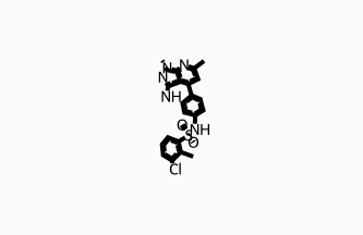 Cc1cc(-c2ccc(NS(=O)(=O)c3cccc(Cl)c3C)cc2)c2c(N)nn(C)c2n1